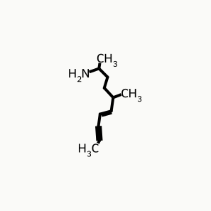 CC#CC=CC(C)CCC(C)N